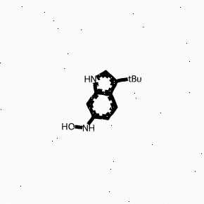 CC(C)(C)c1c[nH]c2cc(NO)ccc12